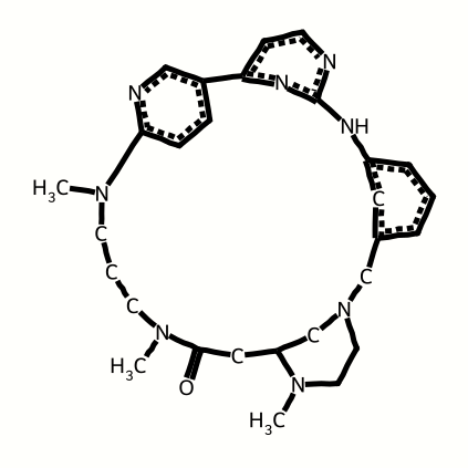 CN1CCCN(C)c2ccc(cn2)-c2ccnc(n2)Nc2cccc(c2)CN2CCN(C)C(CC1=O)C2